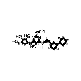 CCCSc1nc(NC2CC2c2cccc(-c3ccccc3)c2)c2nnn([C@@H]3C[C@H](CO)[C@@H](O)[C@H]3O)c2n1